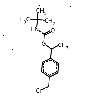 CC(OC(=O)NC(C)(C)C)c1ccc(CCl)cc1